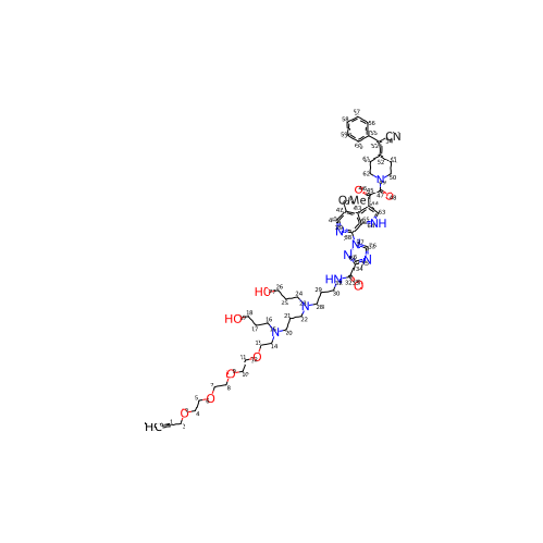 C#CCOCCOCCOCCOCCN(CCCO)CCCN(CCCO)CCCNC(=O)c1ncn(-c2ncc(OC)c3c(C(=O)C(=O)N4CCC(=C(C#N)c5ccccc5)CC4)c[nH]c23)n1